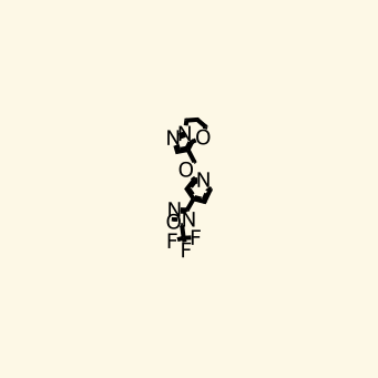 FC(F)(F)c1nc(-c2ccnc(OCc3cnn4c3OCCC4)c2)no1